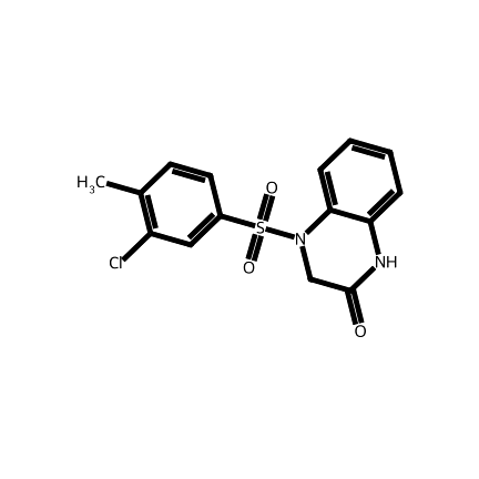 Cc1ccc(S(=O)(=O)N2CC(=O)Nc3ccccc32)cc1Cl